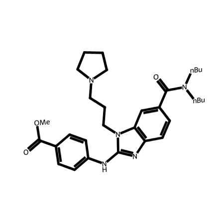 CCCCN(CCCC)C(=O)c1ccc2nc(Nc3ccc(C(=O)OC)cc3)n(CCCN3CCCC3)c2c1